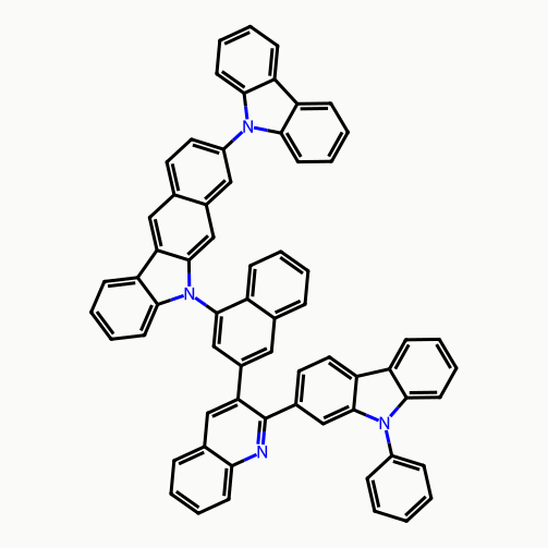 c1ccc(-n2c3ccccc3c3ccc(-c4nc5ccccc5cc4-c4cc(-n5c6ccccc6c6cc7ccc(-n8c9ccccc9c9ccccc98)cc7cc65)c5ccccc5c4)cc32)cc1